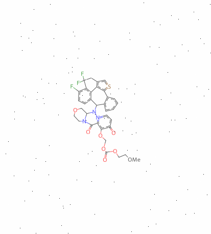 COCCOC(=O)OCOc1c2n(ccc1=O)N(C1c3ccccc3-c3scc4c3-c3c1ccc(F)c3C(F)(F)C4)C1COCCN1C2=O